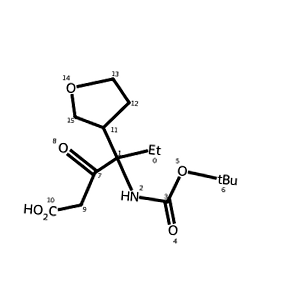 CCC(NC(=O)OC(C)(C)C)(C(=O)CC(=O)O)C1CCOC1